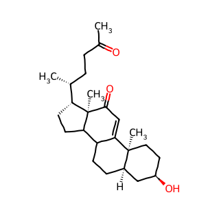 CC(=O)CC[C@@H](C)[C@H]1CCC2C3CC[C@@H]4C[C@H](O)CC[C@]4(C)C3=CC(=O)[C@@]21C